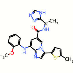 COc1ccccc1Nc1cc(C(=O)N[C@@H](C)c2nnc[nH]2)cn2c(-c3ccc(C)s3)cnc12